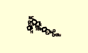 CC(C)(C)OC(=O)N1CCc2cc(Nc3ncc4cc(C#N)c(=O)n([C@H]5C[C@@H]6CC[C@H]5C6)c4n3)ccc2C1